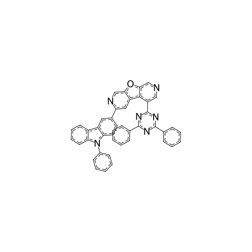 c1ccc(-c2nc(-c3ccccc3)nc(-c3cncc4oc5cnc(-c6ccc7c(c6)c6ccccc6n7-c6ccccc6)cc5c34)n2)cc1